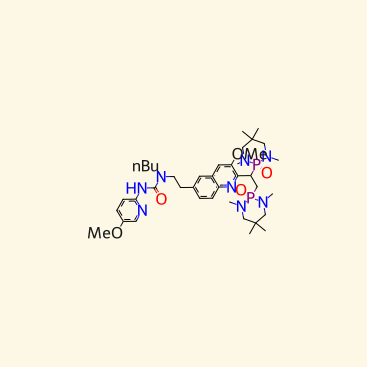 CCCCN(CCc1ccc2nc(C(CP3(=O)N(C)CC(C)(C)CN3C)P3(=O)N(C)CC(C)(C)CN3C)c(OC)cc2c1)C(=O)Nc1ccc(OC)cn1